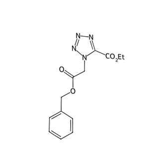 CCOC(=O)c1nnnn1CC(=O)OCc1ccccc1